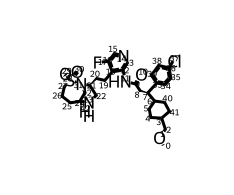 COCC1CCC([C@@H](CC(=O)Nc2cncc(F)c2CC[C@H]2CN[C@@H]3CCCS(=O)(=O)N2C3)c2ccc(Cl)cc2)CC1